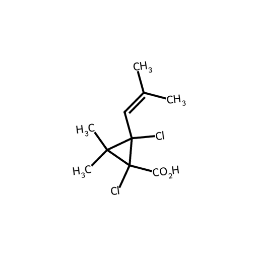 CC(C)=CC1(Cl)C(C)(C)C1(Cl)C(=O)O